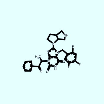 CC(C(=O)c1ccccc1)n1c(=O)[nH]c(=O)c2c1nc(N1CCC3CNCC31)n2Cc1cc(F)c(F)cc1F